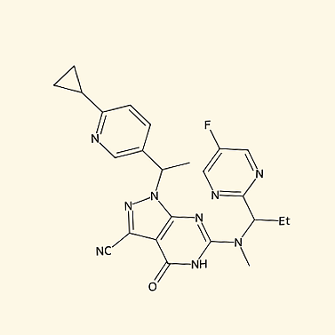 CCC(c1ncc(F)cn1)N(C)c1nc2c(c(C#N)nn2C(C)c2ccc(C3CC3)nc2)c(=O)[nH]1